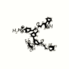 NS(=O)(=O)c1ccc(CCN(Cc2cccc(-c3cccc(C(=O)NCCN4CCCC4)c3)c2)C(=O)CCc2c[nH]c3ccccc23)cc1.O=C(O)C(F)(F)F